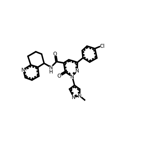 Cn1cc(-n2nc(-c3ccc(Cl)cc3)cc(C(=O)NC3CCCc4ncccc43)c2=O)cn1